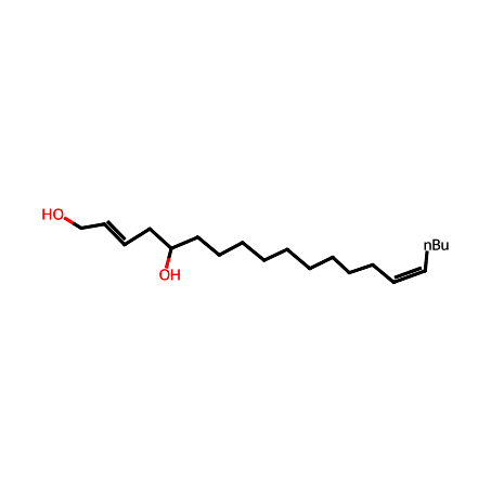 CCCC/C=C\CCCCCCCCCC(O)CC=CCO